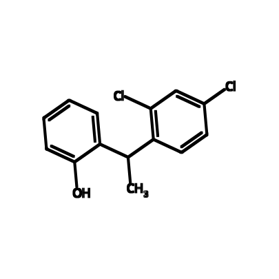 CC(c1ccccc1O)c1ccc(Cl)cc1Cl